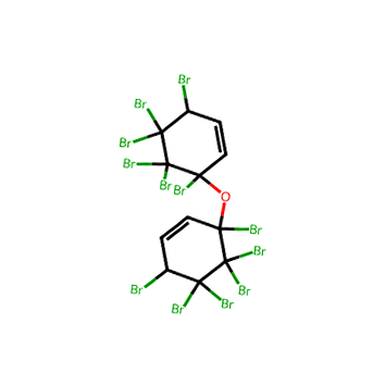 BrC1C=CC(Br)(OC2(Br)C=CC(Br)C(Br)(Br)C2(Br)Br)C(Br)(Br)C1(Br)Br